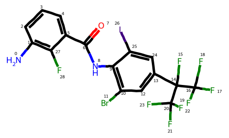 Nc1cccc(C(=O)Nc2c(Br)cc(C(F)(C(F)(F)F)C(F)(F)F)cc2I)c1F